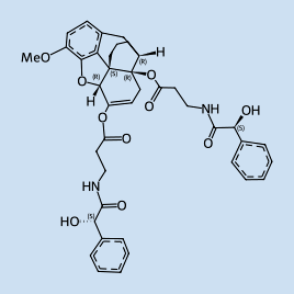 COc1ccc2c3c1O[C@H]1C(OC(=O)CCNC(=O)[C@@H](O)c4ccccc4)=CC[C@@]4(OC(=O)CCNC(=O)[C@@H](O)c5ccccc5)[C@H](CCC[C@]314)C2